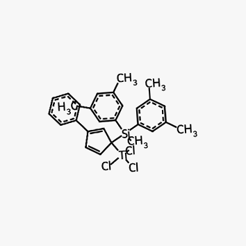 Cc1cc(C)cc([Si](C)(c2cc(C)cc(C)c2)[C]2([Ti]([Cl])([Cl])[Cl])C=CC(c3ccccc3)=C2)c1